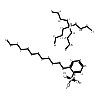 CCCCCCCCCCCCc1ccccc1S(=O)(=O)[O-].CCCC[P+](CCCC)(CCCC)CCCC